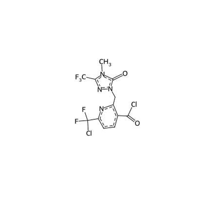 Cn1c(C(F)(F)F)nn(Cc2nc(C(F)(F)Cl)ccc2C(=O)Cl)c1=O